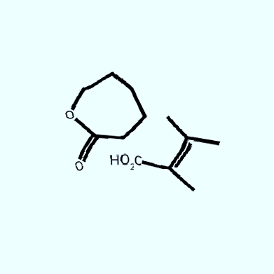 CC(C)=C(C)C(=O)O.O=C1CCCCCO1